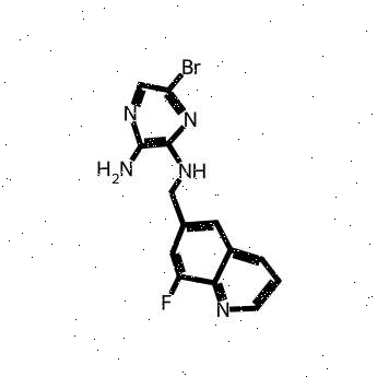 Nc1ncc(Br)nc1NCc1cc(F)c2ncccc2c1